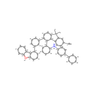 CC(C)(C)c1ccc2c(c1)C(C)(C)c1ccc(-c3cccc(-c4cccc5oc6ccccc6c45)c3)c(-c3ccccc3Nc3ccc(-c4ccccc4)cc3)c1-2